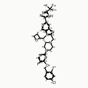 Fc1cc(Cl)ccc1COc1nc(N2CCN(Cc3nc4cc(-c5nnc(C(F)(F)F)[nH]5)ncc4n3CC3CCO3)CC2)ncc1F